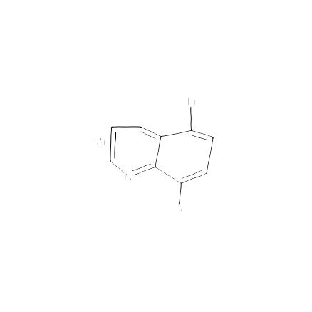 Oc1ccc(Br)c2cccnc12.[Mn]